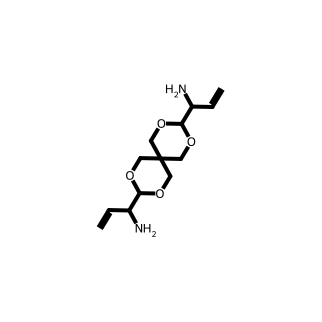 C=CC(N)C1OCC2(CO1)COC(C(N)C=C)OC2